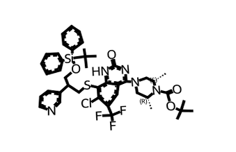 C[C@@H]1CN(c2nc(=O)[nH]c3c(SCC(CO[Si](c4ccccc4)(c4ccccc4)C(C)(C)C)c4cccnc4)c(Cl)c(C(F)(F)F)cc23)C[C@H](C)N1C(=O)OC(C)(C)C